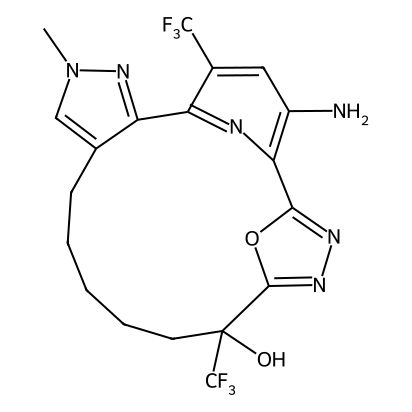 Cn1cc2c(n1)-c1nc(c(N)cc1C(F)(F)F)-c1nnc(o1)C(O)(C(F)(F)F)CCCCC2